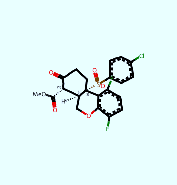 COC(=O)[C@@H]1C(=O)CC[C@@]2(S(=O)(=O)c3ccc(Cl)cc3)c3c(F)ccc(F)c3OC[C@@H]12